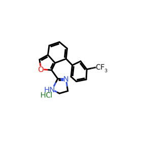 Cl.FC(F)(F)c1cccc(-c2cccc3coc(C4=NCCN4)c23)c1